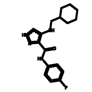 O=C(Nc1ccc(F)cc1)c1n[nH]cc1NCC1CCCCC1